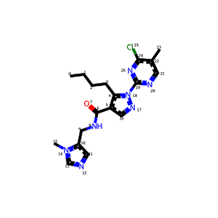 CCCCc1c(C(=O)NCc2cncn2C)cnn1-c1ncc(C)c(Cl)n1